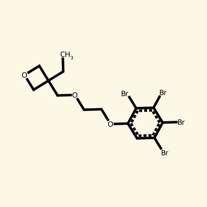 CCC1(COCCOc2cc(Br)c(Br)c(Br)c2Br)COC1